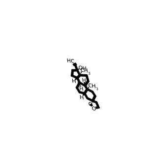 C#C[C@]1(O)CC[C@H]2[C@@H]3CC[C@H]4CC5(CCOO5)CC[C@]4(C)[C@H]3CC[C@@]21C